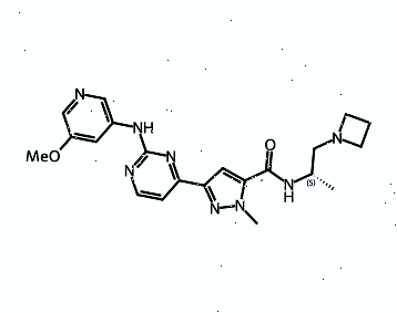 COc1cncc(Nc2nccc(-c3cc(C(=O)N[C@@H](C)CN4CCC4)n(C)n3)n2)c1